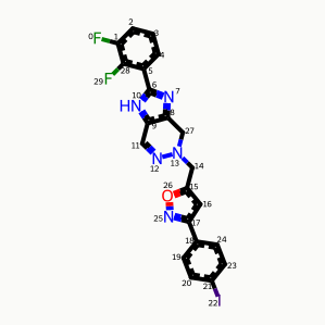 Fc1cccc(-c2nc3c([nH]2)C=NN(Cc2cc(-c4ccc(I)cc4)no2)C3)c1F